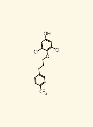 Oc1cc(Cl)c(OCCCc2ccc(C(F)(F)F)cc2)c(Cl)c1